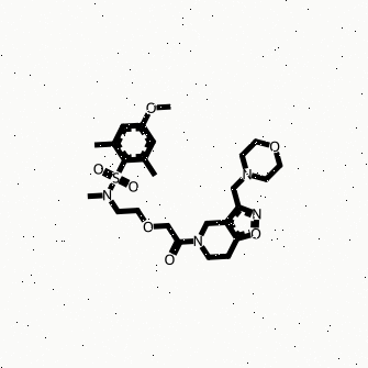 COc1cc(C)c(S(=O)(=O)N(C)CCOCC(=O)N2CCc3onc(CN4CCOCC4)c3C2)c(C)c1